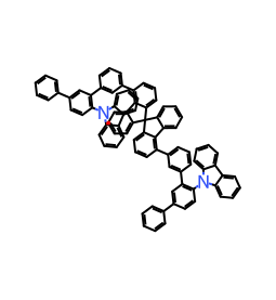 c1ccc(-c2ccc(-n3c4ccccc4c4ccccc43)c(-c3cccc(-c4cccc5c4-c4ccccc4C54c5ccccc5-c5c(-c6cccc(-c7cc(-c8ccccc8)ccc7-n7c8ccccc8c8ccccc87)c6)cccc54)c3)c2)cc1